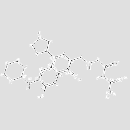 O=C(CNCc1cn(C2CCOC2)c2cc(NC3CCCCC3)c(F)cc2c1=O)OC(=O)C(F)(F)F